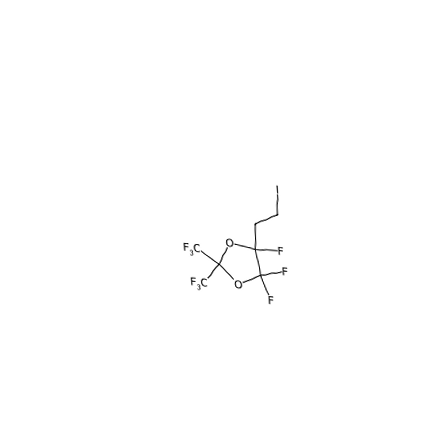 FC(F)(F)C1(C(F)(F)F)OC(F)(F)C(F)(CCI)O1